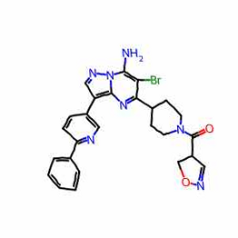 Nc1c(Br)c(C2CCN(C(=O)C3C=NOC3)CC2)nc2c(-c3ccc(-c4ccccc4)nc3)cnn12